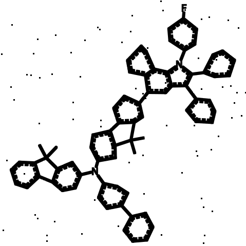 CC1(C)c2ccccc2-c2ccc(N(c3ccc(-c4ccccc4)cc3)c3ccc4c(c3)C(C)(C)c3cc(-c5cc6c(-c7ccccc7)c(-c7ccccc7)n(-c7ccc(F)cc7)c6c6ccccc56)ccc3-4)cc21